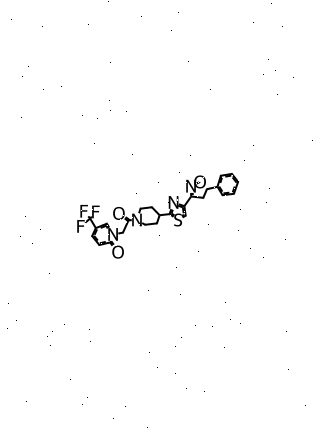 O=C(Cn1cc(C(F)(F)F)ccc1=O)N1CCC(c2nc(C3=NOC(c4ccccc4)C3)cs2)CC1